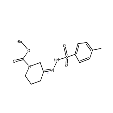 Cc1ccc(S(=O)(=O)N/N=C2/CCCN(C(=O)OC(C)(C)C)C2)cc1